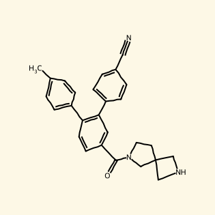 Cc1ccc(-c2ccc(C(=O)N3CCC4(CNC4)C3)cc2-c2ccc(C#N)cc2)cc1